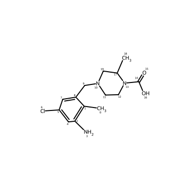 Cc1c(N)cc(Cl)cc1CN1CCN(C(=O)O)C(C)C1